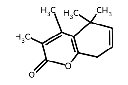 Cc1c2c(oc(=O)c1C)CC=CC2(C)C